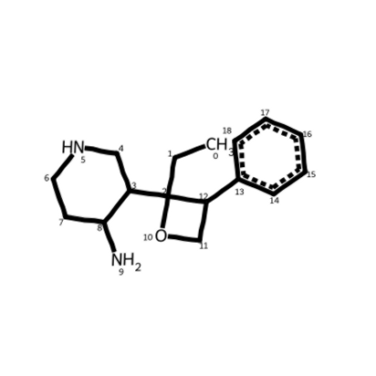 CCC1(C2CNCCC2N)OCC1c1ccccc1